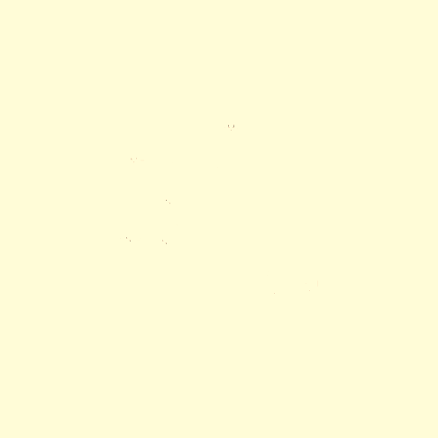 CCCCCCCCCN(Cc1ccc(OC(C)(C)C(=O)O)cc1)C(=O)Nc1ccc(OC)cc1OC